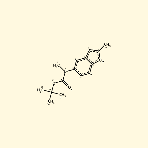 Cc1cc2cc(N(C)C(=O)OC(C)(C)C)ccc2o1